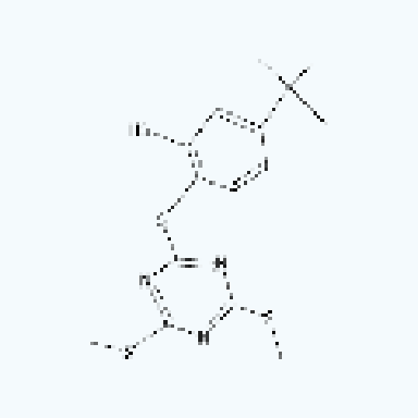 CSc1nc(SC)nc(Sc2ccc(C(C)(C)C)cc2S)n1